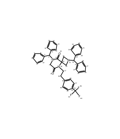 O=C1CN(C(c2ccccc2)c2ccccc2)C(=O)C2(CN(C(c3ccccc3)c3ccccc3)C2)N1CCc1ccc(C(F)(F)F)cc1